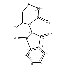 CC1CCNC(=O)C1N1C(=O)c2ccccc2C1=O